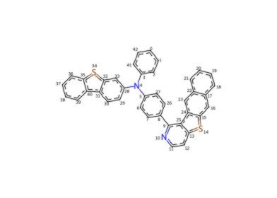 c1ccc(N(c2ccc(-c3nccc4sc5cc6ccccc6cc5c34)cc2)c2ccc3c(c2)sc2ccccc23)cc1